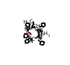 C=C1Cc2c(nnn2Cc2ccccc2)-c2c(n(Cc3ccccc3)n[n+]2C)CCC2N3CCCCN4c5ccccc5N(/C1=C/C=C\C)C4Cc1ccccc1N2c1ccccc13